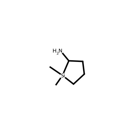 C[Si]1(C)CCCC1N